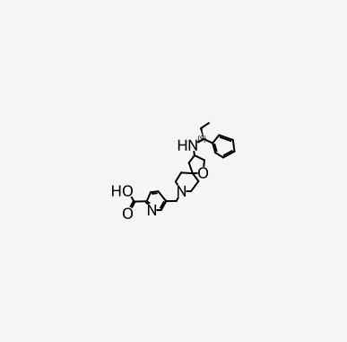 CC[C@H](NC1COC2(CCN(Cc3ccc(C(=O)O)nc3)CC2)C1)c1ccccc1